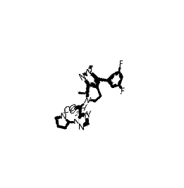 C[C@H]1c2nn(C)c(-c3cc(F)cc(F)c3)c2CCN1C(=O)c1ncnn1C1CCCN1C(=O)O